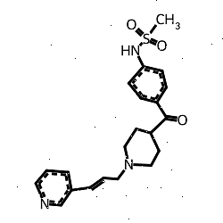 CS(=O)(=O)Nc1ccc(C(=O)C2CCN(CC=Cc3cccnc3)CC2)cc1